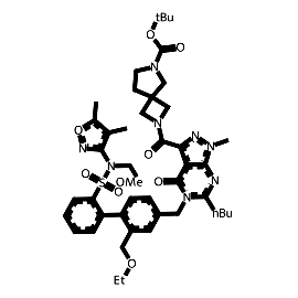 CCCCc1nc2c(c(C(=O)N3CC4(CCN(C(=O)OC(C)(C)C)C4)C3)nn2C)c(=O)n1Cc1ccc(-c2ccccc2S(=O)(=O)N(COC)c2noc(C)c2C)c(COCC)c1